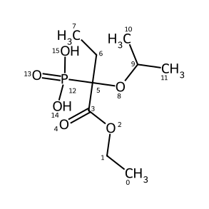 CCOC(=O)C(CC)(OC(C)C)P(=O)(O)O